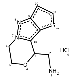 Cl.NCC1OCCn2nc3ccsc3c21